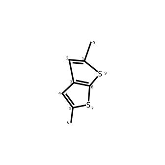 Cc1cc2cc(C)sc2s1